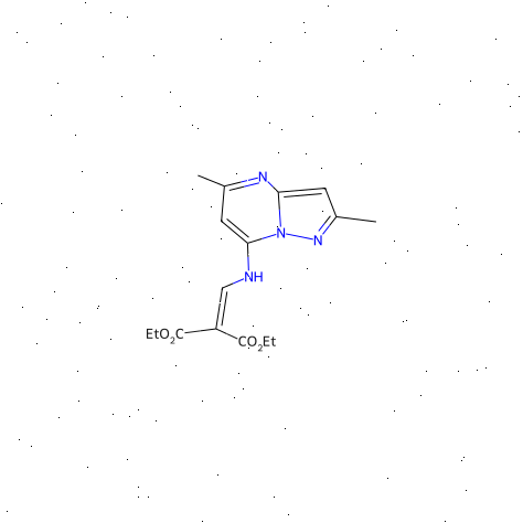 CCOC(=O)C(=CNc1cc(C)nc2cc(C)nn12)C(=O)OCC